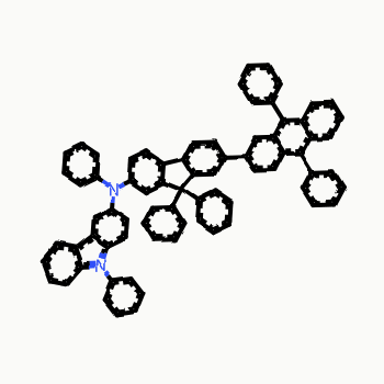 c1ccc(-c2c3ccccc3c(-c3ccccc3)c3cc(-c4ccc5c(c4)C(c4ccccc4)(c4ccccc4)c4cc(N(c6ccccc6)c6ccc7c(c6)c6ccccc6n7-c6ccccc6)ccc4-5)ccc23)cc1